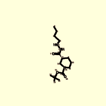 CCCCNNC(=O)[C@@H]1CCCN(C(=O)OC(C)(C)C)C1